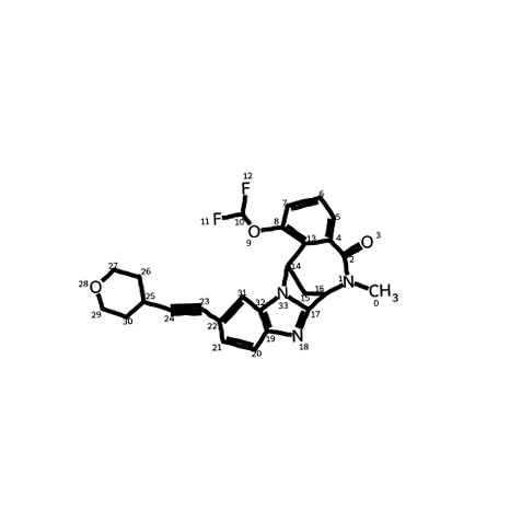 CN1C(=O)c2cccc(OC(F)F)c2C2CC1c1nc3ccc(C#CC4CCOCC4)cc3n12